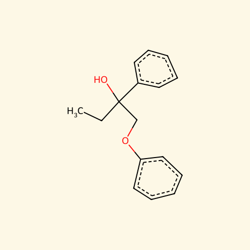 CCC(O)(COc1ccccc1)c1ccccc1